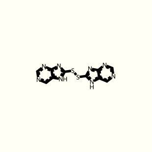 c1ncc2[nH]c(SSc3nc4ncncc4[nH]3)nc2n1